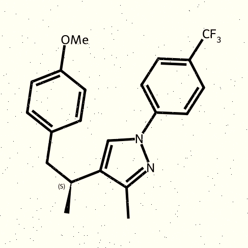 COc1ccc(C[C@H](C)c2cn(-c3ccc(C(F)(F)F)cc3)nc2C)cc1